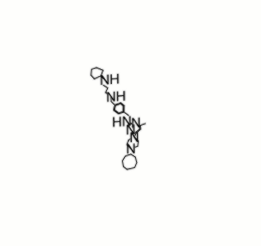 Cc1cc(N2CCN(C3CCCCCCC3)CC2)nc(NCc2ccc(CNCCCNC3CCCCC3)cc2)n1